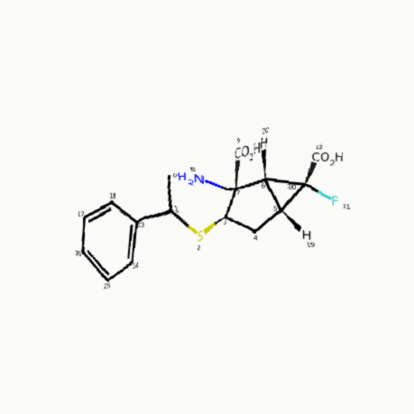 CC(S[C@@H]1C[C@@H]2[C@H]([C@]1(N)C(=O)O)[C@@]2(F)C(=O)O)c1ccccc1